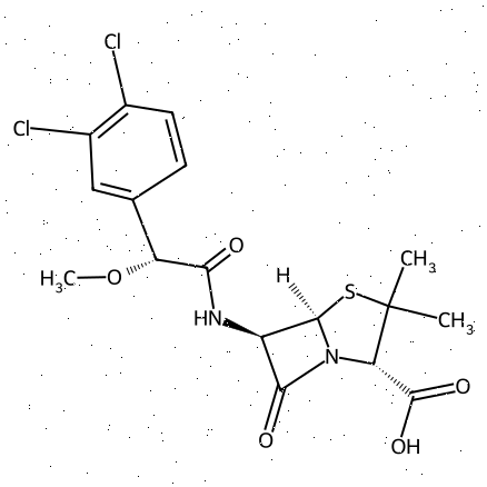 CO[C@@H](C(=O)N[C@@H]1C(=O)N2[C@@H]1SC(C)(C)[C@@H]2C(=O)O)c1ccc(Cl)c(Cl)c1